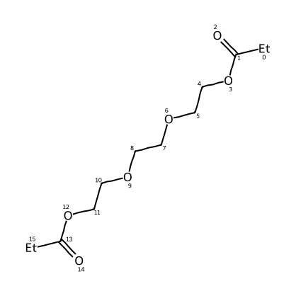 CCC(=O)OCCOCCOCCOC(=O)CC